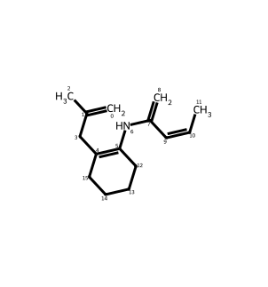 C=C(C)CC1=C(NC(=C)/C=C\C)CCCC1